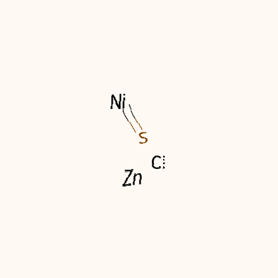 [C].[S]=[Ni].[Zn]